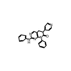 O=C1C(c2ccncc2)Cc2cnc(Nc3ccccc3)nc2N1c1ccccc1